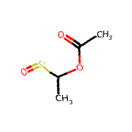 CC(=O)OC(C)[S+]=O